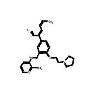 C=C/C(=C\C=C/N)c1ccc(OCCN2CCCC2)c(CNc2cccnc2N)c1